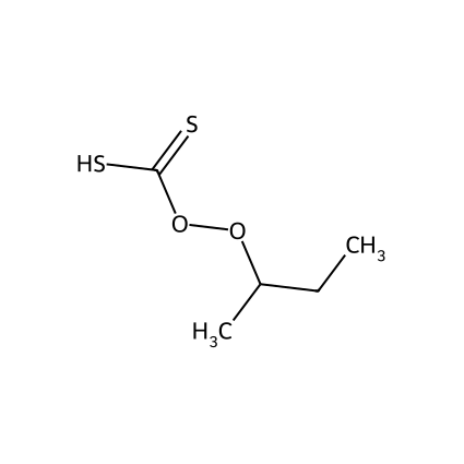 CCC(C)OOC(=S)S